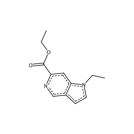 CCOC(=O)c1cc2c(ccn2CC)cn1